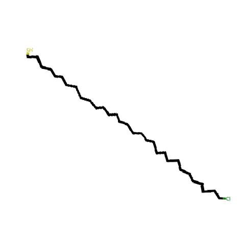 SCCCCCCCCCCCCCCCCCCCCCCCCCCCCCCCCl